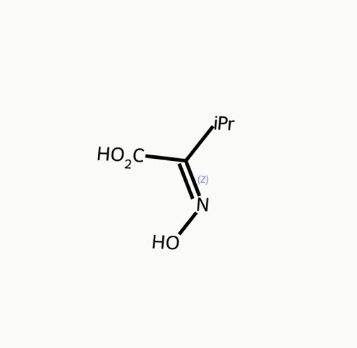 CC(C)/C(=N/O)C(=O)O